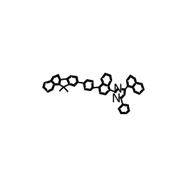 CC1(C)c2cc(-c3ccc(-c4ccc(-c5nc(-c6ccccc6)cc(-c6cccc7ccccc67)n5)c5ccccc45)cc3)ccc2-c2ccc3ccccc3c21